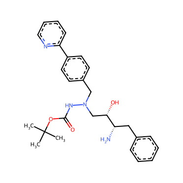 CC(C)(C)OC(=O)NN(Cc1ccc(-c2ccccn2)cc1)C[C@H](O)[C@@H](N)Cc1ccccc1